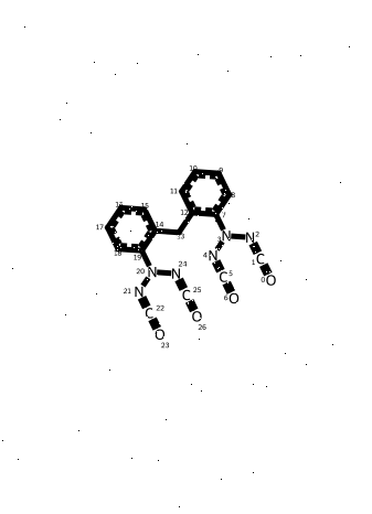 O=C=NN(N=C=O)c1ccccc1Cc1ccccc1N(N=C=O)N=C=O